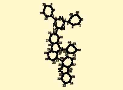 c1ccc(-c2nc(-c3ccccc3)nc(-c3ccc4c5cccc(-c6cccc7c6sc6ccccc67)c5n(-c5ccccc5)c4c3)n2)cc1